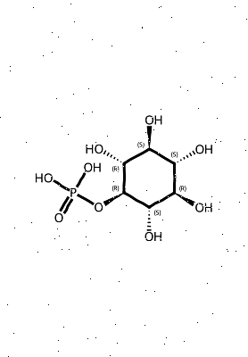 O=P(O)(O)O[C@H]1[C@H](O)[C@@H](O)[C@H](O)[C@@H](O)[C@@H]1O